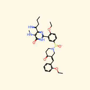 CCCC(=N)c1nc(-c2cc([S+]([O-])N3CCC(=O)/C(=C\c4ccccc4OCC)C3)ccc2OCC)[nH]c(=O)c1NC